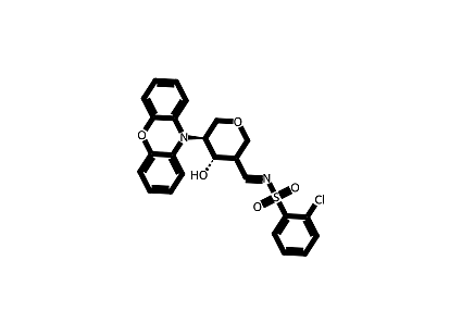 O=S(=O)(/N=C/C1COC[C@H](N2c3ccccc3Oc3ccccc32)[C@H]1O)c1ccccc1Cl